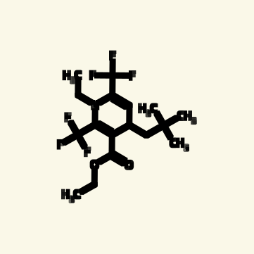 CCOC(=O)C1=C(C(F)(F)F)N(CC)C(C(F)(F)F)=CC1CC(C)(C)C